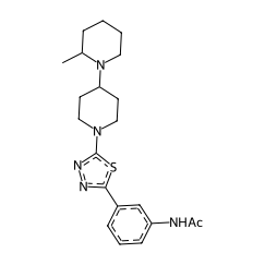 CC(=O)Nc1cccc(-c2nnc(N3CCC(N4CCCCC4C)CC3)s2)c1